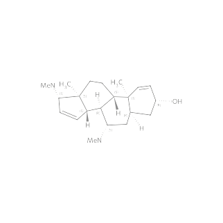 CN[C@H]1C[C@@H]2C[C@@H](O)C=C[C@]2(C)[C@H]2CC[C@]3(C)[C@@H](NC)C=C[C@H]3[C@H]12